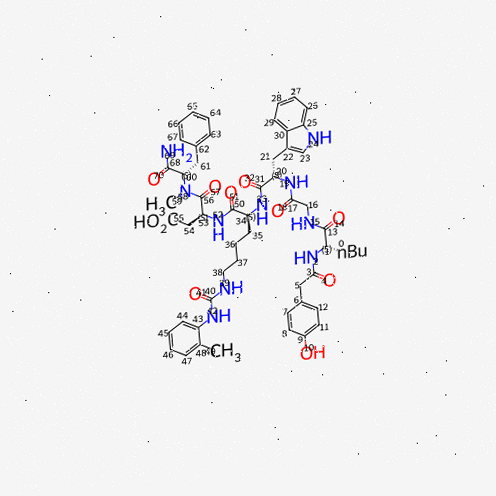 CCCC[C@H](NC(=O)Cc1ccc(O)cc1)C(=O)NCC(=O)N[C@@H](Cc1c[nH]c2ccccc12)C(=O)N[C@@H](CCCCNC(=O)Nc1ccccc1C)C(=O)N[C@@H](CC(=O)O)C(=O)N(C)[C@@H](Cc1ccccc1)C(N)=O